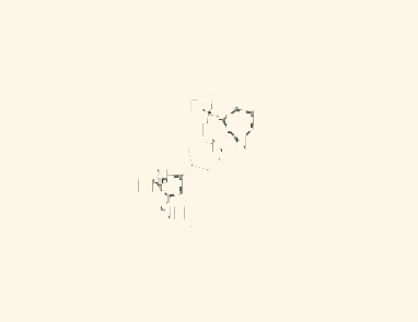 Nc1cc(C2CCN(c3ncccc3C(F)(F)F)CC2)n[nH]1